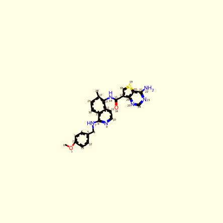 COc1ccc(CNc2nccc3c(NC(=O)c4csc5c(N)ncnc45)c(C)ccc23)cc1